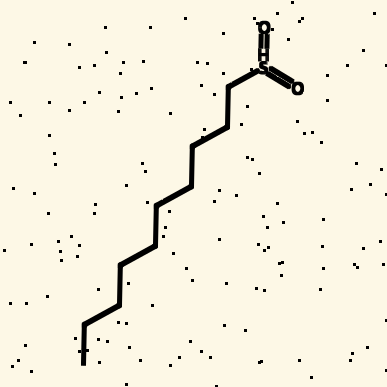 CCCCCCCCCC[SH](=O)=O